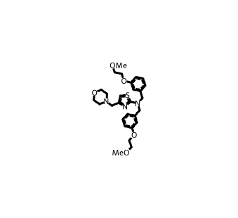 COCCOc1cccc(CN(Cc2cccc(OCCOC)c2)c2nc(CN3CCOCC3)cs2)c1